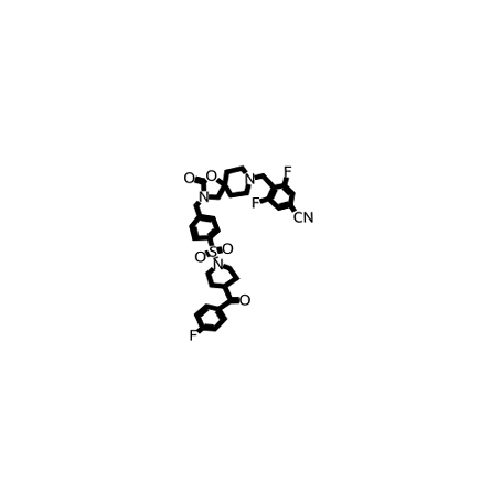 N#Cc1cc(F)c(CN2CCC3(CC2)CN(Cc2ccc(S(=O)(=O)N4CCC(C(=O)c5ccc(F)cc5)CC4)cc2)C(=O)O3)c(F)c1